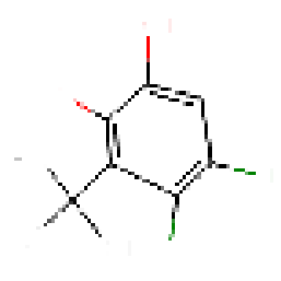 CC(C)(C)c1c(O)c(O)cc(Cl)c1Cl